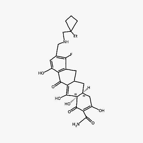 CCC1(CNCc2cc(O)c3c(c2F)CC2C[C@H]4CC(O)=C(C(N)=O)C(=O)[C@@]4(O)C(O)=C2C3=O)CCC1